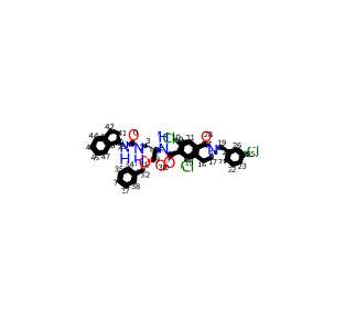 O=C(NC[C@H](NC(=O)c1c(Cl)cc2c(c1Cl)CCN(Cc1cccc(Cl)c1)C2=O)C(=O)OCc1ccccc1)N[C@@H]1CCc2ccccc21